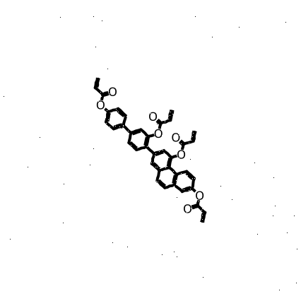 C=CC(=O)Oc1ccc(-c2ccc(-c3cc(OC(=O)C=C)c4c(ccc5cc(OC(=O)C=C)ccc54)c3)c(OC(=O)C=C)c2)cc1